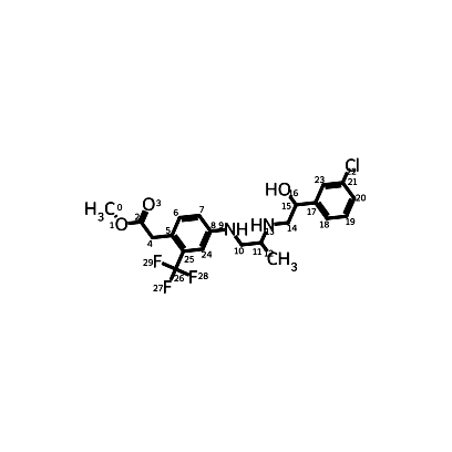 COC(=O)Cc1ccc(NCC(C)NCC(O)c2cccc(Cl)c2)cc1C(F)(F)F